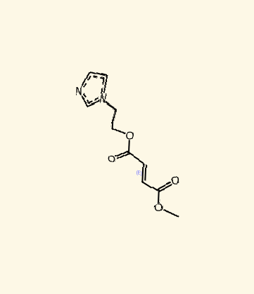 COC(=O)/C=C/C(=O)OCCn1ccnc1